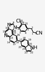 N#CCCc1ccc(-n2cnc3cnc4ccc(-c5ccc6[nH]ccc6c5)cc4c32)c(Cl)c1